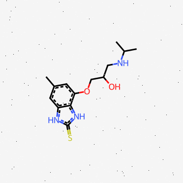 Cc1cc(OCC(O)CNC(C)C)c2[nH]c(=S)[nH]c2c1